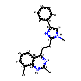 Cc1nc(CCc2nc(-c3ccccc3)cn2C)c2cccc(C)c2n1